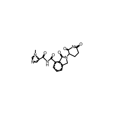 Cn1cncc1C(=O)NC(=O)c1cccc2c1C(=O)N(C1CCC(=O)NC1=O)C2